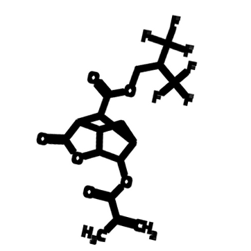 C=C(C)C(=O)OC1C2CC3C1OC(=O)C3C2C(=O)OCC(C(F)(F)F)C(F)(F)F